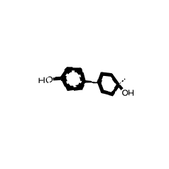 C[C@]1(O)CC[C@@H](c2ccc(O)cc2)CC1